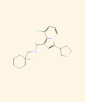 C[C@@H]1CCC[C@](O)(CNC(O)c2cc(C3CCOC3)n3cccc(Cl)c23)C1